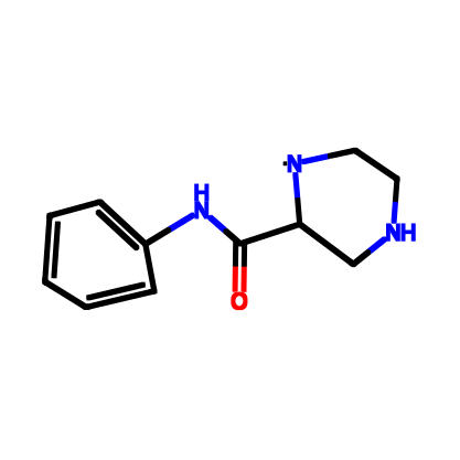 O=C(Nc1ccccc1)C1CNCC[N]1